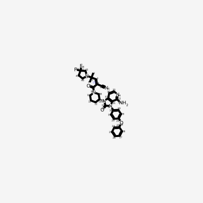 CC(C)(/C=C(/C#N)C(=O)N1CCC[C@@H](n2c(=O)n(-c3ccc(Oc4ccccc4)cc3)c3c(N)nccc32)C1)N1CCC(F)(F)C1